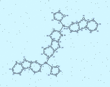 c1coc(N(c2ccc3c(c2)oc2ccccc23)c2ccc3c(c2)sc2nc(N(c4ccc5c(c4)oc4ccccc45)c4ccco4)ccc23)c1